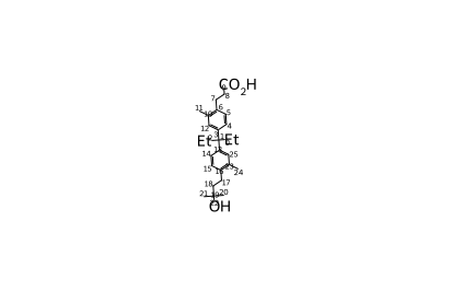 CCC(CC)(c1ccc(CCC(=O)O)c(C)c1)c1ccc(CCC(C)(C)O)c(C)c1